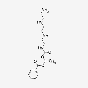 CC(OC(=O)NCCNCCNCCN)OC(=O)c1ccccc1